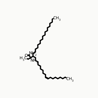 CCCCCCCC/C=C\CCCCCCCCCC(CCCCCCCCCCCCCCCCCC)C(N)(CC)C(N)=O